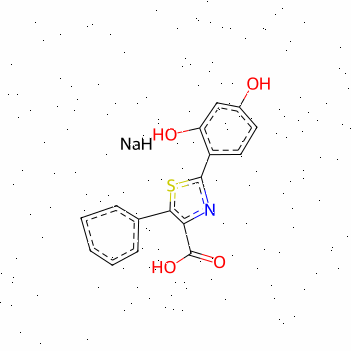 O=C(O)c1nc(-c2ccc(O)cc2O)sc1-c1ccccc1.[NaH]